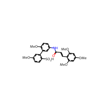 COc1cc(OC)c(C=CC(=O)Nc2ccc(OC)c(-c3cc(OC)ccc3S(=O)(=O)O)c2)c(OC)c1